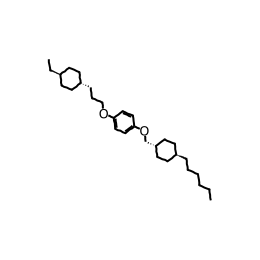 CCCCCC[C@H]1CC[C@H](COc2ccc(OCCC[C@H]3CC[C@H](CC)CC3)cc2)CC1